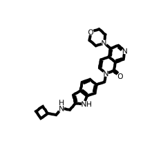 O=c1c2cncc(N3CCOCC3)c2ccn1Cc1ccc2cc(CNCC3CCC3)[nH]c2c1